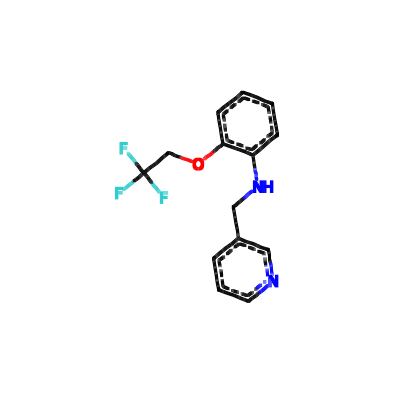 FC(F)(F)COc1ccccc1NCc1cccnc1